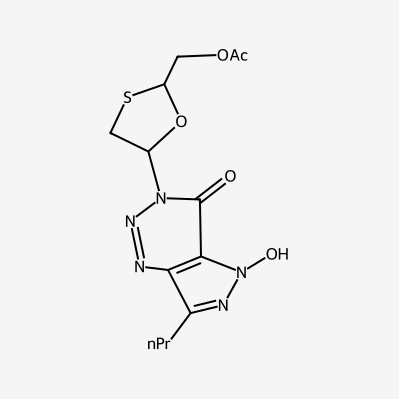 CCCc1nn(O)c2c(=O)n(C3CSC(COC(C)=O)O3)nnc12